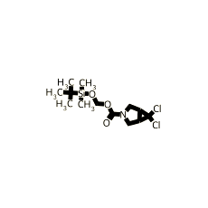 CC(C)(C)[Si](C)(C)OCOC(=O)N1CC2C(C1)C2(Cl)Cl